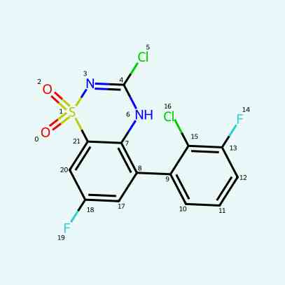 O=S1(=O)N=C(Cl)Nc2c(-c3cccc(F)c3Cl)cc(F)cc21